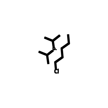 CC(C)[P]C(C)C.CCCCCCl